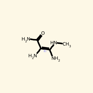 CN/C(N)=C(/N)C(N)=O